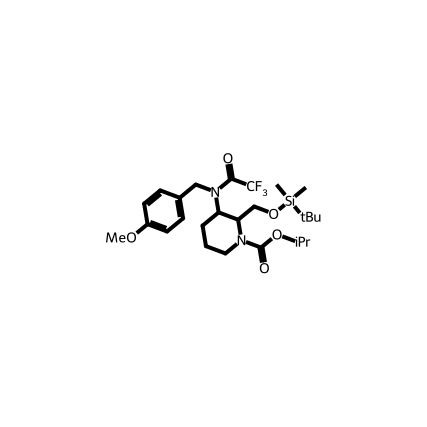 COc1ccc(CN(C(=O)C(F)(F)F)C2CCCN(C(=O)OC(C)C)C2CO[Si](C)(C)C(C)(C)C)cc1